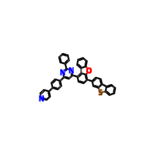 c1ccc(-c2nc(-c3ccc(-c4ccncc4)cc3)cc(-c3ccc(-c4ccc5c(c4)sc4ccccc45)c4oc5ccccc5c34)n2)cc1